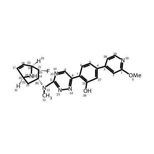 COc1cc(-c2ccc(-c3cnc(N(C)[C@@H]4C[C@H]5C=C[C@H](N5)[C@@H]4F)nn3)c(O)c2)ccn1